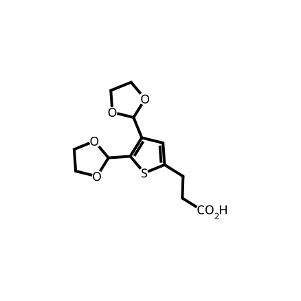 O=C(O)CCc1cc(C2OCCO2)c(C2OCCO2)s1